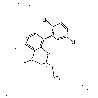 CN1C[C@@H](CN)Oc2c(-c3cc(Cl)ccc3Cl)cccc21